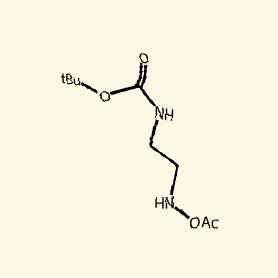 CC(=O)ONCCNC(=O)OC(C)(C)C